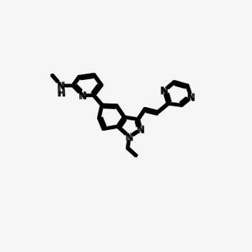 CCn1nc(C=Cc2cnccn2)c2cc(-c3cccc(NC)n3)ccc21